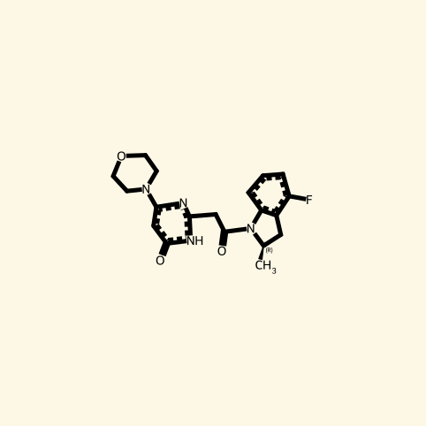 C[C@@H]1Cc2c(F)cccc2N1C(=O)Cc1nc(N2CCOCC2)cc(=O)[nH]1